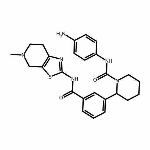 CN1CCc2nc(NC(=O)c3cccc(C4CCCCN4C(=O)Nc4ccc(N)cc4)c3)sc2C1